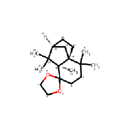 CC1(C)CCC2(OCCO2)[C@@]2(C)C(C)(C)[C@H]3CC[C@@]12C3